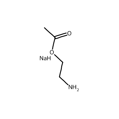 CC(=O)OCCN.[NaH]